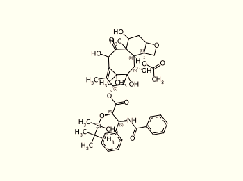 CC(=O)O[C@@]12COC1CC(O)C1(C)C(=O)C(O)C3=C(C)[C@@H](OC(=O)[C@H](O[Si](C)(C)C(C)(C)C)[C@@H](NC(=O)c4ccccc4)c4ccccc4)CC(O)([C@@H](O)[C@@H]12)C3(C)C